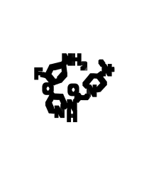 CN(C)C1CCN(CC(=O)Nc2cc(Oc3ccc(N)cc3F)ccn2)CC1